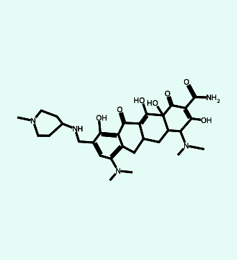 CN1CCC(NCc2cc(N(C)C)c3c(c2O)C(=O)C2=C(O)C4(O)C(=O)C(C(N)=O)=C(O)C(N(C)C)C4CC2C3)CC1